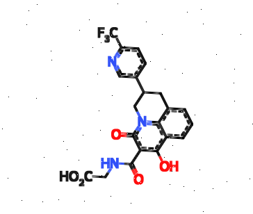 O=C(O)CNC(=O)c1c(O)c2cccc3c2n(c1=O)CC(c1ccc(C(F)(F)F)nc1)C3